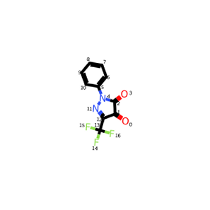 O=C1C(=O)N(c2ccccc2)N=C1C(F)(F)F